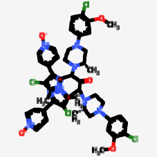 COc1cc(N2CCN(C(Cn3nc(-c4cc[n+]([O-])cc4)c(Cl)c3C)C(=O)C(Cn3nc(-c4cc[n+]([O-])cc4)c(Cl)c3C)N3CCN(c4ccc(Cl)c(OC)c4)C[C@@H]3C)[C@@H](C)C2)ccc1Cl